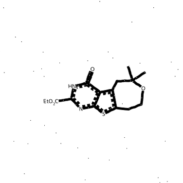 CCOC(=O)c1nc2sc3c(c2c(=O)[nH]1)CC(C)(C)OCC3